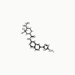 Cc1nnc(-c2cc3cc(NC(=O)N4CCC(NC(C)C)C(F)(F)C4)ncc3cn2)s1